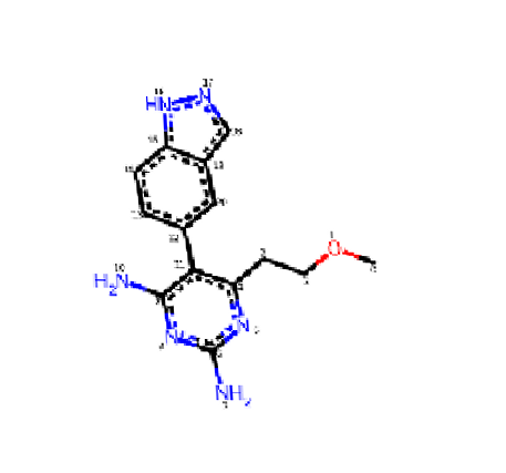 COCCc1nc(N)nc(N)c1-c1ccc2[nH]ncc2c1